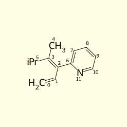 C=C/C(=C(/C)C(C)C)c1ccccn1